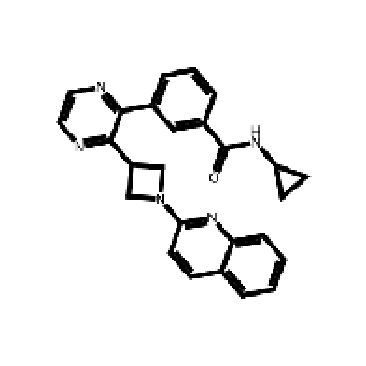 O=C(NC1CC1)c1cccc(-c2nccnc2C2CN(c3ccc4ccccc4n3)C2)c1